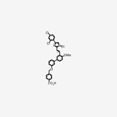 CCn1cc(-c2ccc(Cl)cc2Cl)nc1/C=C/c1cc(-c2cccc(OCc3ccc(C(=O)O)cc3)c2)ccc1OC